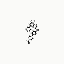 CC(=O)N1CCN(c2ccc(Nc3ccc4c(n3)N(C3CCOCC3)C(C)C(=O)N4C)cc2)CC1